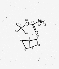 C1CC2CCC12.CC(C)(C)OC(N)=O